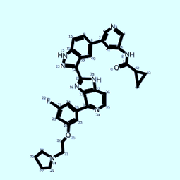 O=C(Nc1cncc(-c2ccc3[nH]nc(-c4nc5c(-c6cc(F)cc(OCCN7CCCC7)c6)nccc5[nH]4)c3c2)c1)C1CC1